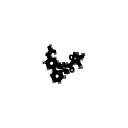 CC(C)=Cc1ccc(-c2ccccc2S(=O)(=O)NC(=O)c2onc(C)c2C)cc1